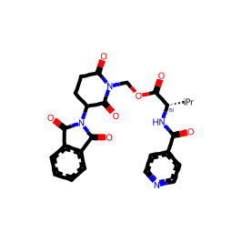 CC(C)[C@H](NC(=O)c1ccncc1)C(=O)OCN1C(=O)CCC(N2C(=O)c3ccccc3C2=O)C1=O